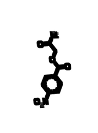 CCC(=O)COC(=O)c1ccc([N+](=O)[O-])cc1